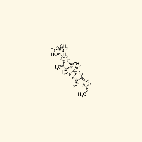 CCc1ccc(-c2ccc(C(CC)(CC)c3ccc(CCC(O)C(C)(C)C)c(C)c3)cc2C)o1